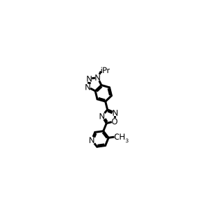 Cc1ccncc1-c1nc(-c2ccc3c(c2)nnn3C(C)C)no1